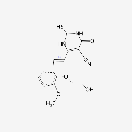 COc1cccc(/C=C/C2=C(C#N)C(=O)NC(S)N2)c1OCCO